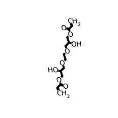 C=CC(=O)OCC(O)COCCOCC(O)COC(=O)C=C